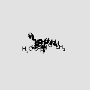 CCCNC(=O)Nc1cc(-c2nc(C(F)(F)F)cs2)c(-c2ccc3c(c2)c(=O)c(C(=O)OCC)cn3CCN2CCOCC2)cn1